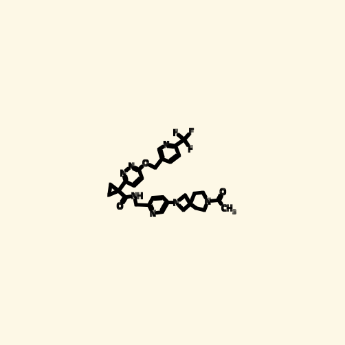 CC(=O)N1CCC2(CC1)CN(c1ccc(CNC(=O)C3(c4ccc(OCc5ccc(C(F)(F)F)nc5)nn4)CC3)nc1)C2